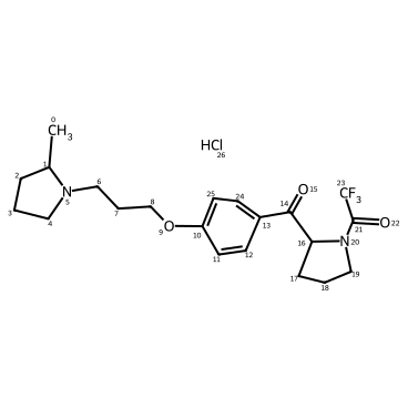 CC1CCCN1CCCOc1ccc(C(=O)C2CCCN2C(=O)C(F)(F)F)cc1.Cl